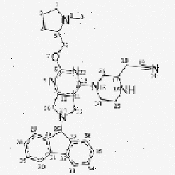 CN1CCCC1COc1nc2c(c(N3CCNC(CC#N)C3)n1)CN(C1c3ccccc3-c3ccccc31)C2